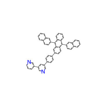 c1cncc(-c2cncc(-c3ccc(-c4ccc5c(-c6ccc7ccccc7c6)c6ccccc6c(-c6ccc7ccccc7c6)c5c4)cc3)c2)c1